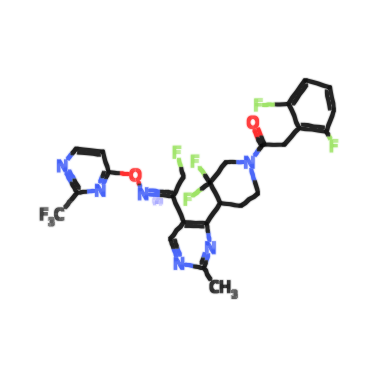 Cc1ncc(/C(CF)=N/Oc2ccnc(C(F)(F)F)n2)c(C2CCN(C(=O)Cc3c(F)cccc3F)CC2(F)F)n1